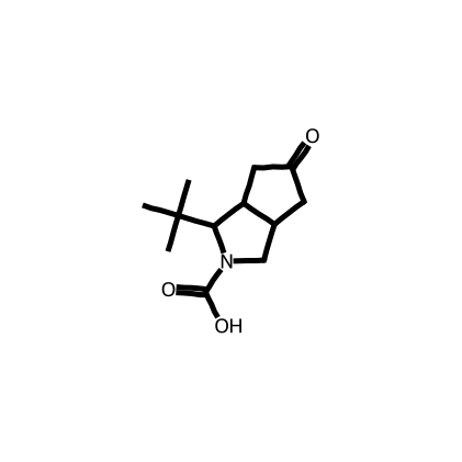 CC(C)(C)C1C2CC(=O)CC2CN1C(=O)O